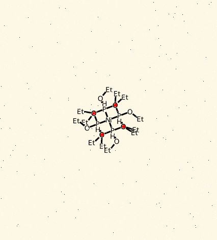 CCO[PH](OCC)(OCC)[Ni]([PH](OCC)(OCC)OCC)([PH](OCC)(OCC)OCC)[PH](OCC)(OCC)OCC